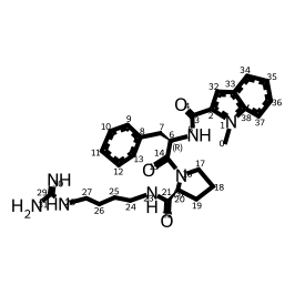 Cn1c(C(=O)N[C@H](Cc2ccccc2)C(=O)N2CCC[C@H]2C(=O)NCCCCNC(=N)N)cc2ccccc21